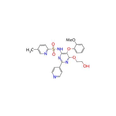 COc1ccccc1Oc1c(NS(=O)(=O)c2ccc(C)cn2)nc(-c2ccncc2)nc1OCCO